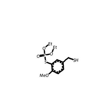 CCOP(=O)(OCC)Sc1cc(CS)ccc1OC